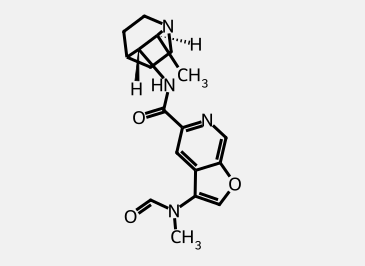 C[C@H]1[C@H](NC(=O)c2cc3c(N(C)C=O)coc3cn2)C2CCN1CC2